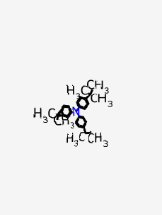 CCC(C)c1ccc(N(c2ccc(C(C)(C)CC)cc2)c2ccc3c(c2)C3(C)C)cc1